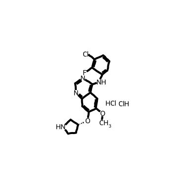 COc1cc2c(Nc3cccc(Cl)c3F)ncnc2cc1O[C@@H]1CCNC1.Cl.Cl